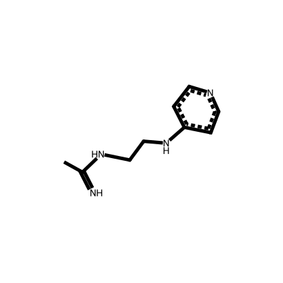 CC(=N)NCCNc1ccncc1